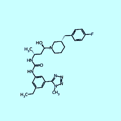 CCc1cc(NC(=O)N[C@H](C)C[C@@H](O)N2CCC[C@@H](Cc3ccc(F)cc3)C2)cc(-c2nnnn2C)c1